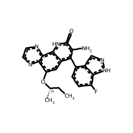 CC[C@H](C)Oc1cc2c(-c3ccc(F)c4[nH]ncc34)c(N)c(=O)[nH]c2c2nccnc12